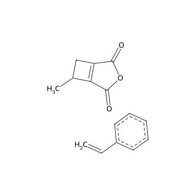 C=Cc1ccccc1.CC1CC2=C1C(=O)OC2=O